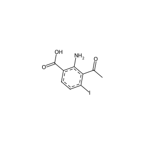 CC(=O)c1c(I)ccc(C(=O)O)c1N